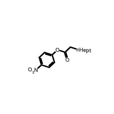 CCCCCCCCC(=O)Oc1ccc([N+](=O)[O-])cc1